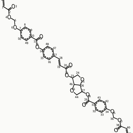 C=CC(=O)OCOc1ccc(C(=O)Oc2ccc(/C=C/C(=O)OC3COC4C(OC(=O)c5ccc(OCOC(=O)C=C)cc5)COC34)cc2)cc1